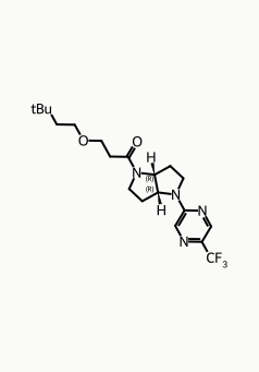 CC(C)(C)CCOCCC(=O)N1CC[C@@H]2[C@H]1CCN2c1cnc(C(F)(F)F)cn1